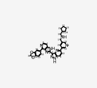 c1cc2[nH]c(-c3n[nH]c4ccc(-c5cncc(CNCC6CCCC6)c5)nc34)nc2c(-c2ccc3c(c2)OCO3)n1